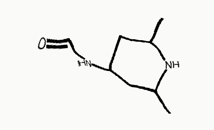 CC1CC(NC=O)CC(C)N1